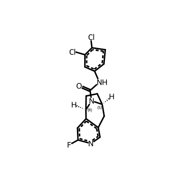 O=C(Nc1ccc(Cl)c(Cl)c1)N1[C@H]2CC[C@@H]1c1cc(F)ncc1C2